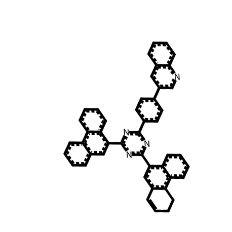 C1=Cc2cc(-c3nc(-c4ccc(-c5cnc6ccccc6c5)cc4)nc(-c4cc5ccccc5c5ccccc45)n3)c3ccccc3c2CC1